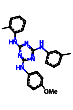 COc1ccc(Nc2nc(Nc3cccc(C)c3)nc(Nc3ccccc3C)n2)cc1